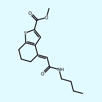 CCCCNC(=O)C=C1CCCc2sc(C(=O)OC)cc21